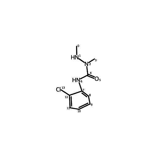 CNN(C)C(=O)Nc1ccccc1Cl